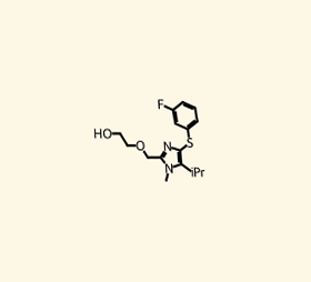 CC(C)c1c(Sc2cccc(F)c2)nc(COCCO)n1C